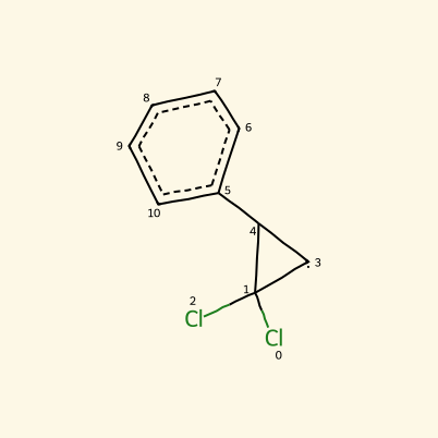 ClC1(Cl)[CH]C1c1ccccc1